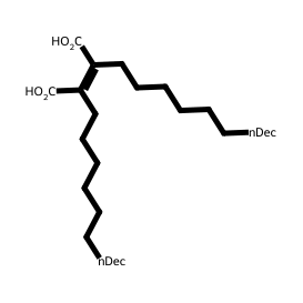 CCCCCCCCCCCCCCCCC(C(=O)O)=C(CCCCCCCCCCCCCCCC)C(=O)O